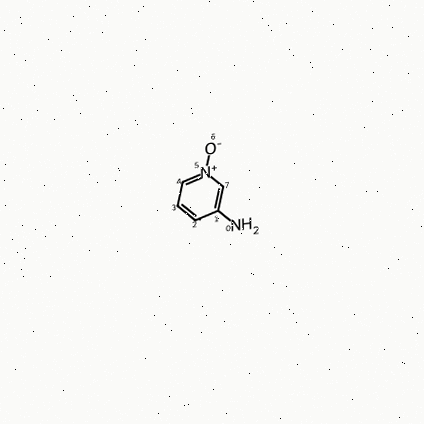 Nc1[c]cc[n+]([O-])c1